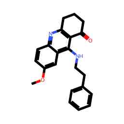 COc1ccc2nc3c(c(NCCc4ccccc4)c2c1)C(=O)CCC3